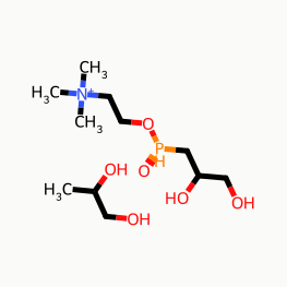 CC(O)CO.C[N+](C)(C)CCO[PH](=O)CC(O)CO